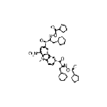 Cn1c2ccc(C(=O)/C(CC3CCCCC3)=N/OC(=O)C3CCCC3)cc2c2cc(C(=O)/C(CC3CCCCC3)=N/OC(=O)C3CCCC3)cc([N+](=O)[O-])c21